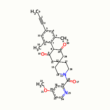 CC#Cc1cc(C)c(C2C(=O)CC3(CCN(C(=O)c4cc(OC)ccn4)CC3)CC2=O)c(C)c1